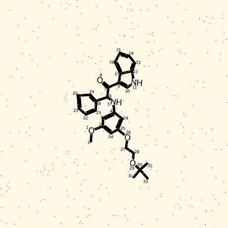 COc1cc(NC(C(=O)c2c[nH]c3ccccc23)c2ccccc2)cc(OCCOC(C)(C)C)c1